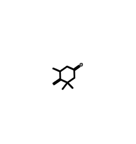 C=C1C(C)CC(=O)CC1(C)C